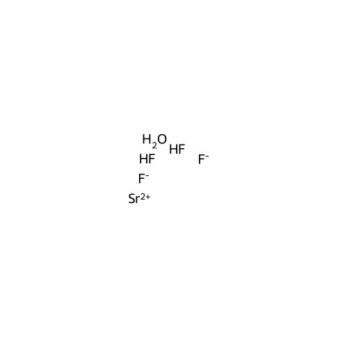 F.F.O.[F-].[F-].[Sr+2]